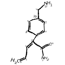 C=CC=C(C(N)=O)c1ccc(CN)cc1